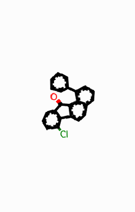 O=C1c2cccc(Cl)c2-c2ccc3cccc(-c4ccccc4)c3c21